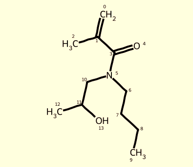 C=C(C)C(=O)N(CCCC)CC(C)O